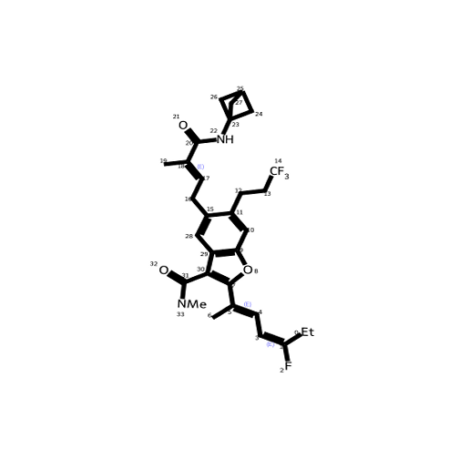 CC/C(F)=C\C=C(/C)c1oc2cc(CCC(F)(F)F)c(C/C=C(\C)C(=O)NC34CC(C3)C4)cc2c1C(=O)NC